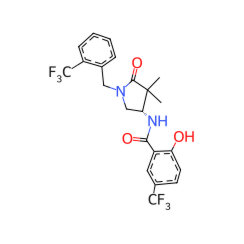 CC1(C)C(=O)N(Cc2ccccc2C(F)(F)F)C[C@H]1NC(=O)c1cc(C(F)(F)F)ccc1O